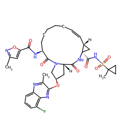 Cc1cc(C(=O)N[C@H]2CCCCCC=C[C@@H]3C[C@@]3(C(=O)NS(=O)(=O)C3(C)CC3)NC(=O)[C@@H]3C[C@@H](Oc4nc5c(F)cccc5nc4C)CN3C2=O)on1